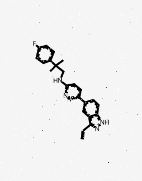 C=Cc1n[nH]c2ccc(-c3ccc(NCC(C)(C)c4ccc(F)cc4)nn3)cc12